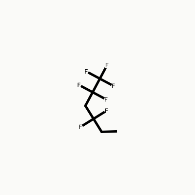 CCC(F)(F)CC(F)(F)C(F)(F)F